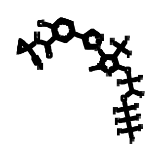 Cn1nc(OC(F)(F)C(F)OC(F)(F)C(F)(F)C(F)(F)F)c(C(F)(F)F)c1-n1cc(-c2ccc(Cl)c(C(=O)NC3(C#N)CC3)c2)cn1